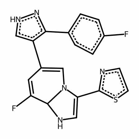 FC1=CC(c2c[nH]nc2-c2ccc(F)cc2)=CN2C(c3nccs3)=CNC12